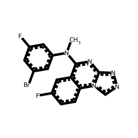 CN(c1cc(F)cc(Br)c1)c1nc2nncn2c2ccc(F)cc12